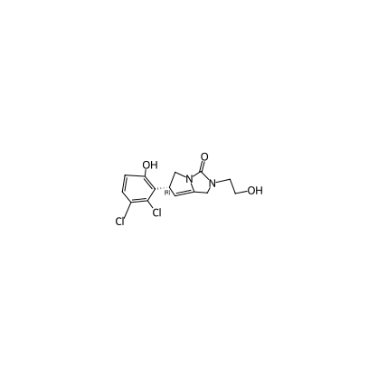 O=C1N(CCO)CC2=C[C@H](c3c(O)ccc(Cl)c3Cl)CN12